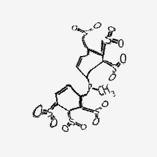 CP(C1C=CC(=S(=O)=O)C(=S(=O)=O)C1=S(=O)=O)C1C=CC(=S(=O)=O)C(=S(=O)=O)C1=S(=O)=O